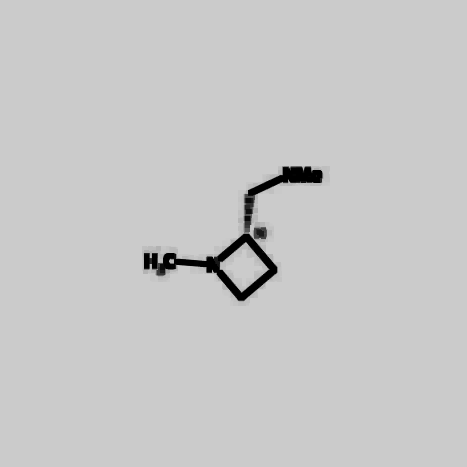 CNC[C@@H]1CCN1C